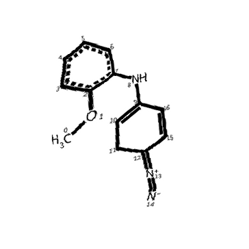 COc1ccccc1NC1=CCC(=[N+]=[N-])C=C1